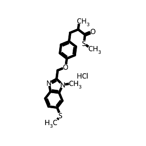 CSC(=O)C(C)Cc1ccc(OCc2nc3ccc(SC)cc3n2C)cc1.Cl